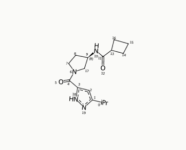 CC(C)c1cc(C(=O)N2CC[C@@H](NC(=O)C3CCC3)C2)[nH]n1